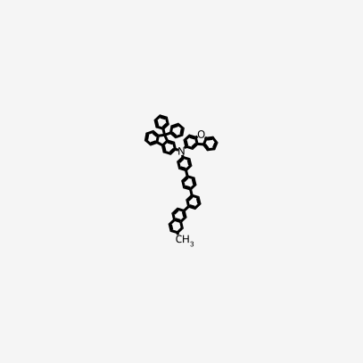 CC1C=Cc2ccc(-c3cccc(-c4ccc(-c5ccc(N(c6ccc7c(c6)C(c6ccccc6)(c6ccccc6)c6ccccc6-7)c6ccc7oc8ccccc8c7c6)cc5)cc4)c3)cc2C1